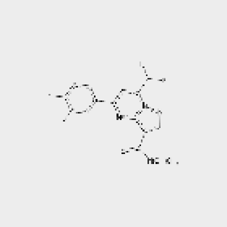 Cc1ccc(-c2cc(C(F)F)n3ncc(C(=O)N(C)O)c3n2)cc1C